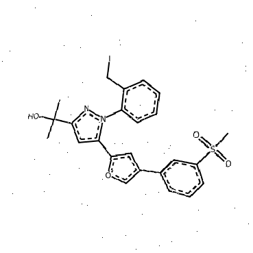 CC(C)(O)c1cc(-c2cc(-c3cccc(S(C)(=O)=O)c3)co2)n(-c2ccccc2CI)n1